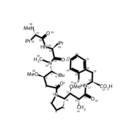 CC[C@H](C)[C@H]([C@@H](CC(=O)N1CCC[C@H]1[C@H](OC)[C@@H](C)C(=O)N[C@@H](Cc1ccccc1F)C(=O)O)OC)N(C)C(=O)[C@@H](NC(=O)[C@@H](NC)C(C)C)C(C)C